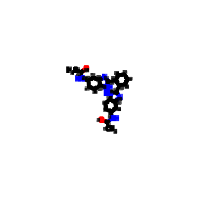 CC(=O)Nc1ccc2[nH]c(-c3ccccc3-c3nc4cc(NC(C)=O)ccc4[nH]3)nc2c1